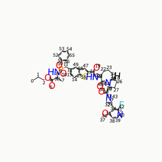 CCCOC(=O)[C@H](C)NP(=O)(Cc1ccc2sc(C(=O)N[C@H]3CCC[C@H]4CC[C@@H](C(=O)N5CC(c6c(OC)ccnc6F)C5)N4C3=O)cc2c1)Oc1ccccc1